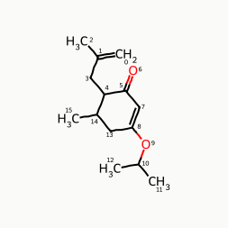 C=C(C)CC1C(=O)C=C(OC(C)C)CC1C